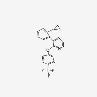 FC(F)(F)c1ccc(Oc2ncccc2-c2ccccc2C2CC2)cn1